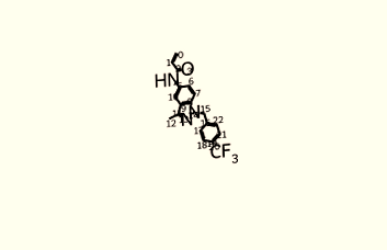 C=CC(=O)Nc1ccc2c(c1)c(C)nn2Cc1ccc(C(F)(F)F)cc1